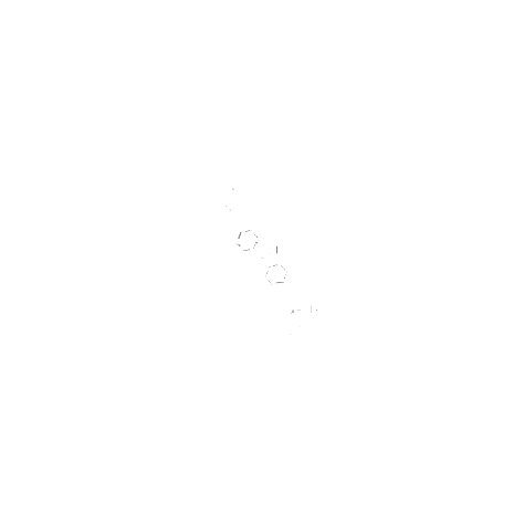 CCS(=O)(=O)C[C@H](O)COc1ccc(C(C)(C)c2ccc(OC[C@@H](O)CCl)c(Cl)c2)cc1Cl